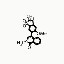 COc1cc2c(cc1-c1cn(C)c(=O)c3ccccc13)S(=O)(=O)N(C)C2